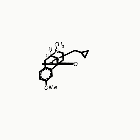 COc1ccc2c(c1)C13CCN(C)[C@H](C2)[C@@H]1CN(CC1CC1)C(=O)C3